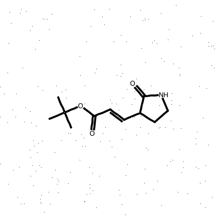 CC(C)(C)OC(=O)C=CC1CCNC1=O